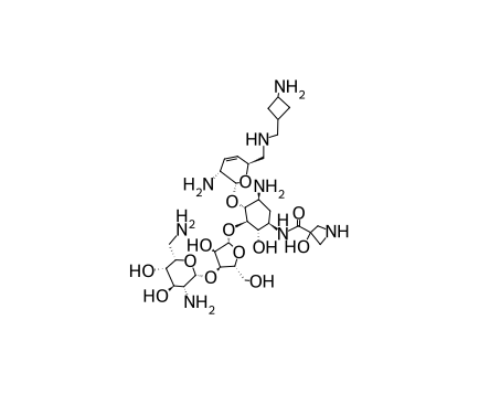 NC[C@@H]1O[C@H](O[C@H]2[C@@H](O)[C@H](O[C@@H]3[C@@H](O)[C@H](NC(=O)C4(O)CNC4)C[C@H](N)[C@H]3O[C@H]3O[C@H](CNCC4CC(N)C4)C=C[C@H]3N)O[C@@H]2CO)[C@H](N)[C@@H](O)[C@@H]1O